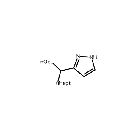 CCCCCCCCC(CCCCCCC)c1cc[nH]n1